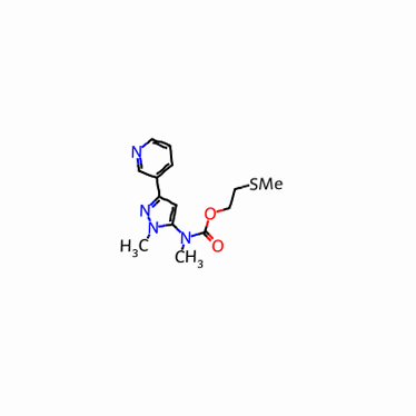 CSCCOC(=O)N(C)c1cc(-c2cccnc2)nn1C